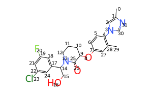 Cc1cn(-c2ccc(OC3CCCN(C(CO)c4cc(F)cc(Cl)c4)C3=O)cc2C)cn1